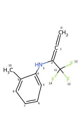 C=C=C(Nc1ccccc1C)C(F)(F)F